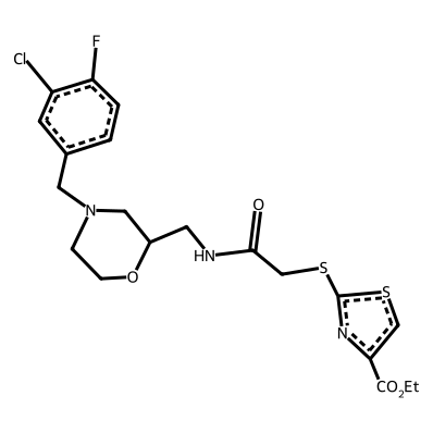 CCOC(=O)c1csc(SCC(=O)NCC2CN(Cc3ccc(F)c(Cl)c3)CCO2)n1